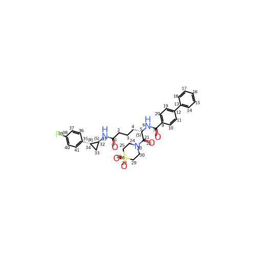 O=C(CCC[C@H](NC(=O)c1ccc(-c2ccccc2)cc1)C(=O)N1CCS(=O)(=O)CC1)N[C@H]1C[C@@H]1c1ccc(F)cc1